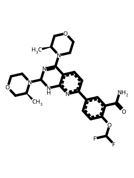 C[C@H]1COCCN1C1=NC(N2CCOC[C@@H]2C)Nc2nc(-c3ccc(OC(F)F)c(C(N)=O)c3)ccc21